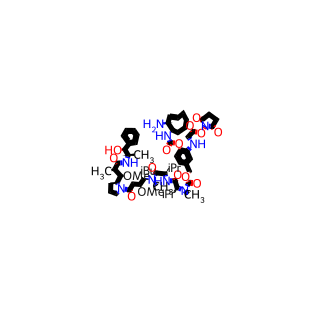 CC[C@H](C)[C@@H]([C@@H](CC(=O)N1CCC[C@H]1[C@H](OC)[C@@H](C)C(=O)N[C@H](C)[C@@H](O)c1ccccc1)OC)N(C)C(=O)[C@@H](NC(=O)[C@H](C(C)C)N(C)C(=O)OCc1ccc(OC(=O)N[C@H]2CCCC/C=C/[C@@H]2N)c(NCC(=O)ON2C(=O)CCC2=O)c1)C(C)C